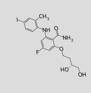 Cc1cc(I)ccc1Nc1cc(F)cc(OCC[C@@H](O)CO)c1C(N)=O